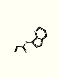 C=CC(=O)Sc1ccc2cccsc1-2